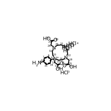 Cl.Cl.Cl.Cl.Cl.Nc1ccc([N+]2(CC(=O)O)CCN(CC(=O)O)CCNCCN(CC(=O)O)CC2)cc1